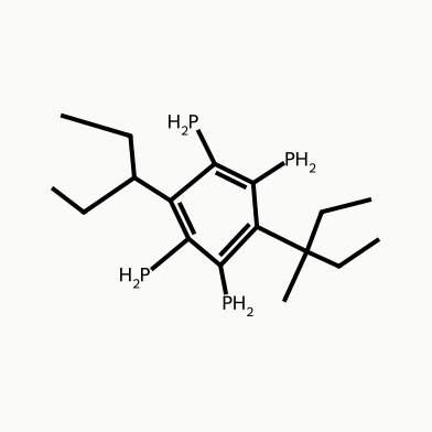 CCC(CC)c1c(P)c(P)c(C(C)(CC)CC)c(P)c1P